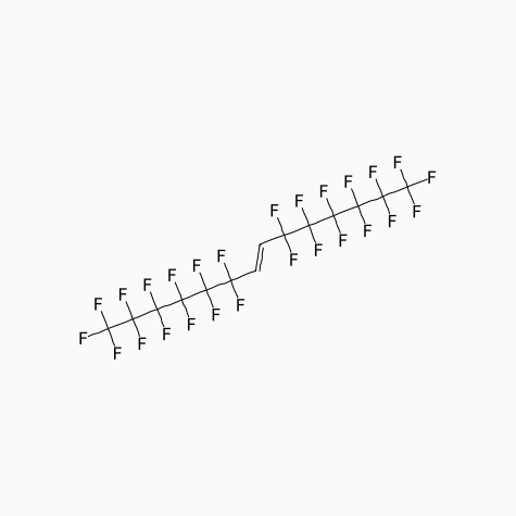 FC(F)(F)C(F)(F)C(F)(F)C(F)(F)C(F)(F)C(F)(F)C=CC(F)(F)C(F)(F)C(F)(F)C(F)(F)C(F)(F)C(F)(F)F